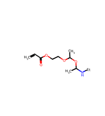 C=CC(=O)OCCOC(C)OC(C)NCC